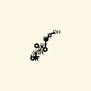 Cc1nn2cccnc2c1C(=O)N[C@@H](C)c1nc2cccc(C#Cc3cnn(C4CN(CCO)C4)c3)c2c(=O)n1-c1ccccc1